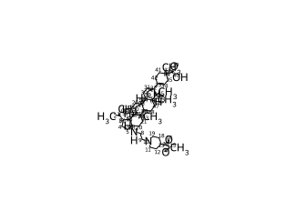 C=C(C)[C@@H]1CC[C@]2(NCCN3CCC(S(C)(=O)=O)CC3)CC[C@]3(C)[C@H](CC[C@@H]4[C@@]5(C)CC=C(C6=CC[C@@](C)(C(=O)O)CC6)C(C)(C)[C@@H]5CC[C@]43C)[C@@H]12